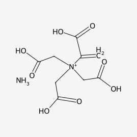 C=C(C(=O)O)[N+](CC(=O)O)(CC(=O)O)CC(=O)O.N